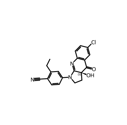 CCc1cc(N2CC[C@@]3(O)C(=O)c4cc(Cl)ccc4N=C23)ccc1C#N